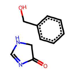 O=C1CNC=N1.OCc1ccccc1